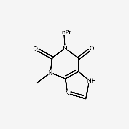 [CH2]CCn1c(=O)c2[nH]cnc2n(C)c1=O